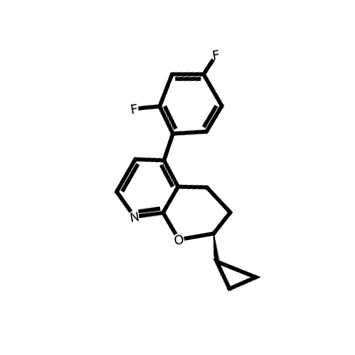 Fc1ccc(-c2ccnc3c2CC[C@@H](C2CC2)O3)c(F)c1